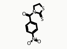 O=C(c1ccc([N+](=O)[O-])cc1)N1CCSC1=S